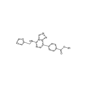 CC(C)OC(=O)c1ccc(-c2cnc(NCc3ccco3)n3cnnc23)cc1